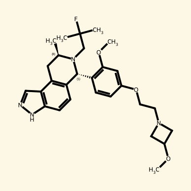 COc1cc(OCCN2CC(OC)C2)ccc1[C@@H]1c2ccc3[nH]ncc3c2C[C@@H](C)N1CC(C)(C)F